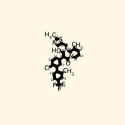 Cc1ncc(C[n+]2c(O)c(-c3ccc(Cl)c(-c4ccc(C(F)(F)F)cc4C)c3)c(=O)n3cccc(C)c32)s1